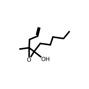 C=CCC1(C)OC1(O)CCCCC